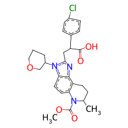 COC(=O)N1c2ccc3c(nc(CC(C(=O)O)c4ccc(Cl)cc4)n3C3CCCOC3)c2CCC1C